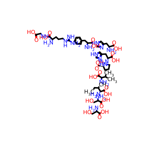 CC(C)C(N)C(=O)O.CCC(C)C(N)C(=O)O.N=C(N)NCCCC(N)C(=O)O.NC(CO)C(=O)O.NC(CO)C(=O)O.NC(Cc1c[nH]cn1)C(=O)O.NC(Cc1c[nH]cn1)C(=O)O.NC(Cc1ccccc1)C(=O)O.NCC(=O)O.O=C(O)[C@@H]1CCCN1